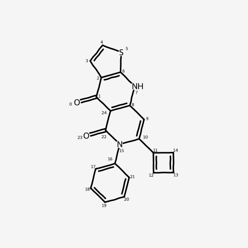 O=c1c2ccsc2[nH]c2cc(C3=CC=C3)n(-c3ccccc3)c(=O)c12